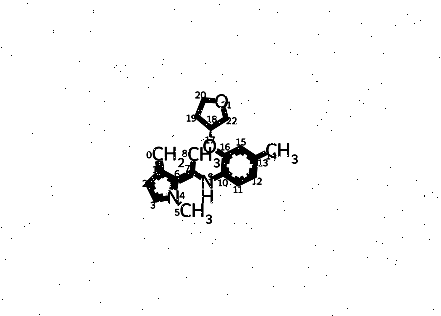 C=c1ccn(C)/c1=C(/C)Nc1ccc(C)cc1O[C@@H]1CCOC1